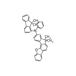 CC1(C)c2ccccc2-c2cccc(N(c3ccccc3)c3ccc4c(c3)[Si](C)(C)c3ccc5c(oc6ccccc65)c3-4)c21